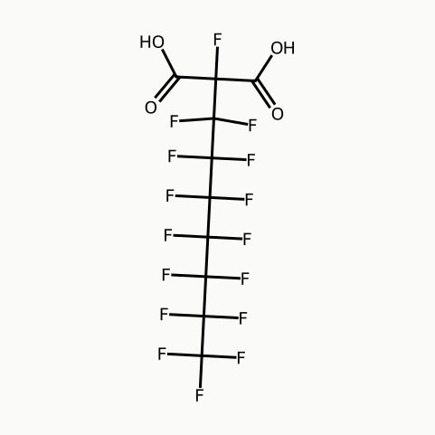 O=C(O)C(F)(C(=O)O)C(F)(F)C(F)(F)C(F)(F)C(F)(F)C(F)(F)C(F)(F)C(F)(F)F